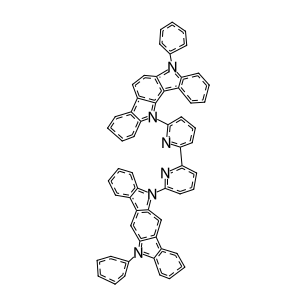 c1ccc(-n2c3ccccc3c3cc4c(cc32)c2ccccc2n4-c2cccc(-c3cccc(-n4c5ccccc5c5ccc6c(c7ccccc7n6-c6ccccc6)c54)n3)n2)cc1